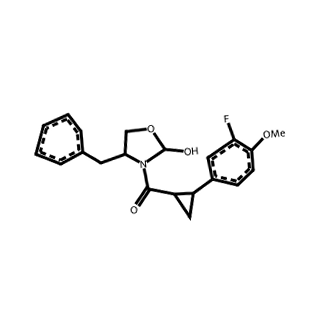 COc1ccc(C2CC2C(=O)N2C(Cc3ccccc3)COC2O)cc1F